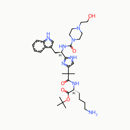 CC(C)(C)OC(=O)[C@@H](CCCCN)NC(=O)C(C)(C)c1c[nH]c([C@@H](Cc2c[nH]c3ccccc23)NC(=O)N2CCN(CCO)CC2)n1